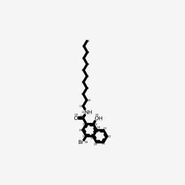 CCCCCCCCCCCCNC(=O)c1cc(Br)c2ccccc2c1O